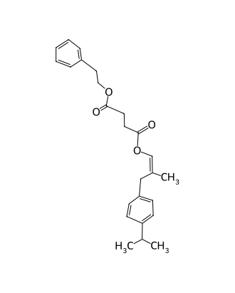 CC(=COC(=O)CCC(=O)OCCc1ccccc1)Cc1ccc(C(C)C)cc1